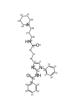 O=C(CCCc1cn(-c2ccccc2)c(NC(=O)c2ccccc2)n1)NCCCN1CCCCC1